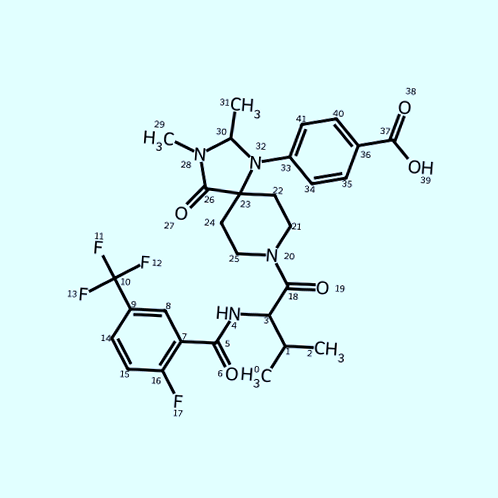 CC(C)C(NC(=O)c1cc(C(F)(F)F)ccc1F)C(=O)N1CCC2(CC1)C(=O)N(C)C(C)N2c1ccc(C(=O)O)cc1